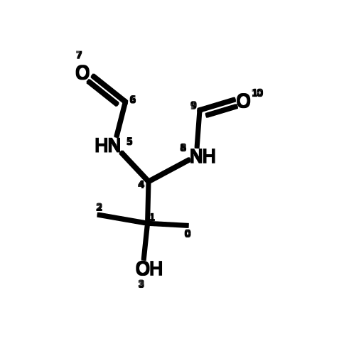 CC(C)(O)C(NC=O)NC=O